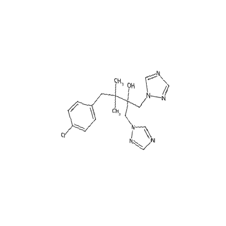 CC(C)(Cc1ccc(Cl)cc1)C(O)(Cn1cncn1)Cn1cncn1